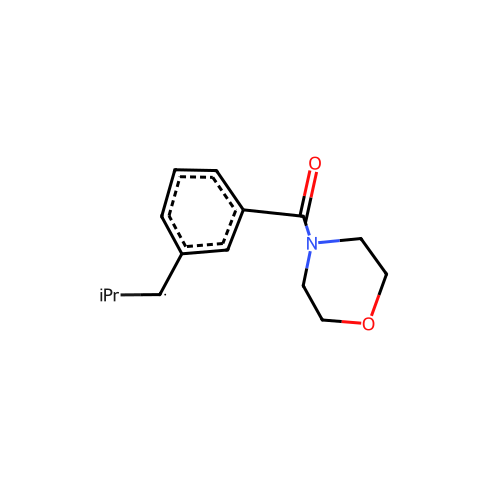 CC(C)[CH]c1cccc(C(=O)N2CCOCC2)c1